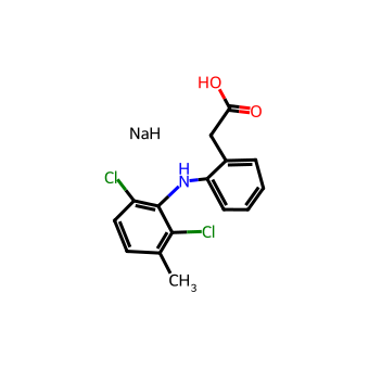 Cc1ccc(Cl)c(Nc2ccccc2CC(=O)O)c1Cl.[NaH]